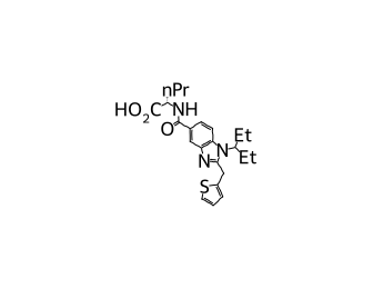 CCC[C@H](NC(=O)c1ccc2c(c1)nc(Cc1cccs1)n2C(CC)CC)C(=O)O